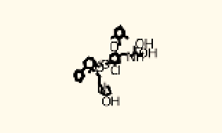 Cc1cccc(C)c1COc1cc(OC[C@@]2(OCCCN3CCC(O)C3)C=CC=C(c3ccccc3)C2(C)C)c(Cl)cc1CNC(CO)CO